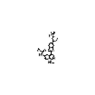 CNc1ncc(-c2nc3cc(N4CCO[C@H](C(C)(F)F)C4)ccc3o2)c2cc(NC(=O)C3CC3)ncc12